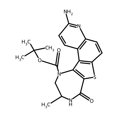 CC1CN(C(=O)OC(C)(C)C)c2c(sc3ccc4nc(N)ccc4c23)C(=O)N1